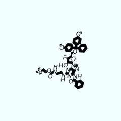 COc1ccc(C(OC[C@H]2O[C@@H](n3cnc4c(NC(=O)c5ccccc5)nc(NCCNC(=O)OCC[Si](C)(C)C)nc43)[C@@H](O)[C@@H]2F)(c2ccccc2)c2ccc(OC)cc2)cc1